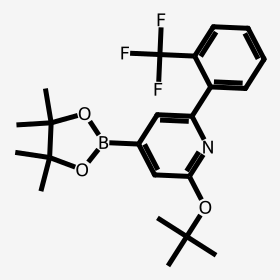 CC(C)(C)Oc1cc(B2OC(C)(C)C(C)(C)O2)cc(-c2ccccc2C(F)(F)F)n1